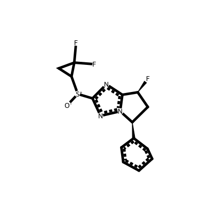 [O-][S+](c1nc2n(n1)[C@H](c1ccccc1)C[C@@H]2F)C1CC1(F)F